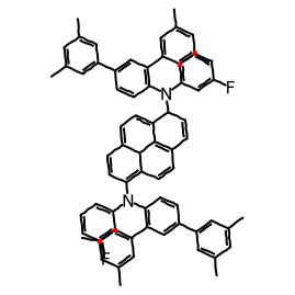 Cc1cc(C)cc(-c2ccc(N(C3=C4C=CC5=C6C(=CC=C(C=C3)C46)C(N(c3cccc(F)c3)c3ccc(-c4cc(C)cc(C)c4)cc3-c3cc(C)cc(C)c3)C=C5)c3cccc(F)c3)c(-c3cc(C)cc(C)c3)c2)c1